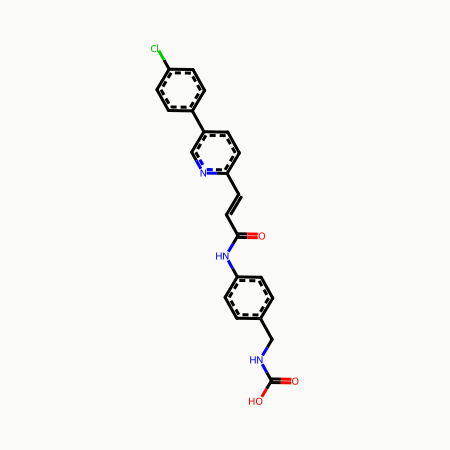 O=C(O)NCc1ccc(NC(=O)/C=C/c2ccc(-c3ccc(Cl)cc3)cn2)cc1